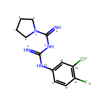 N=C(NC(=N)N1CCCC1)Nc1ccc(F)c(Cl)c1